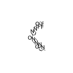 Cc1ccc2oc(N3CCN(C(=O)c4ccc(N5CC(OC(C)C(F)(F)F)C5)nc4)CC3)nc2n1